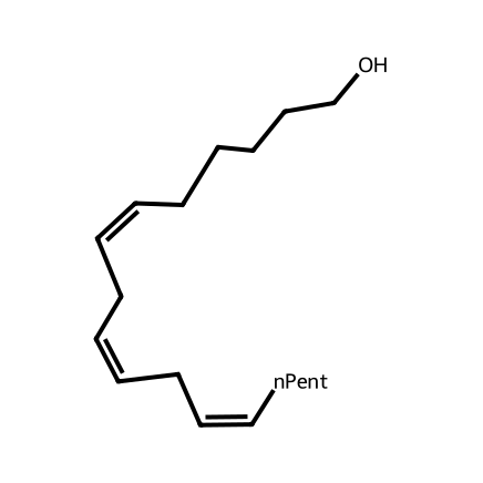 CCCCC/C=C\C/C=C\C/C=C\CCCCCO